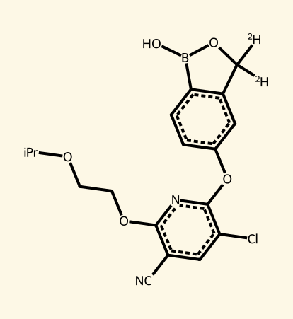 [2H]C1([2H])OB(O)c2ccc(Oc3nc(OCCOC(C)C)c(C#N)cc3Cl)cc21